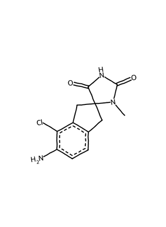 CN1C(=O)NC(=O)C12Cc1ccc(N)c(Cl)c1C2